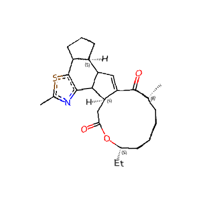 CC[C@H]1CCCC[C@@H](C)C(=O)C2=CC3C(c4nc(C)sc4C4CCC[C@H]43)[C@@H]2CC(=O)O1